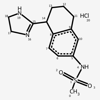 CS(=O)(=O)Nc1ccc2c(c1)CCCC2C1=NCCN1.Cl